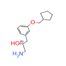 NC[C@@H](O)Cc1cccc(OCC2CCCC2)c1